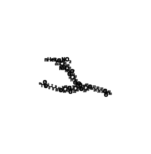 C=CC(=O)OCCCCCCCOc1ccc(OC(=O)c2ccc(C(=O)Oc3ccc(OCCCCCCCOC(=O)C=C)cc3)c(C(=O)OCc3ccc(OC(=O)c4ccc(-c5cc([N+](=O)[O-])c(O[C@@H](C)CCCCCC)cc5N)cc4)cc3)c2)cc1